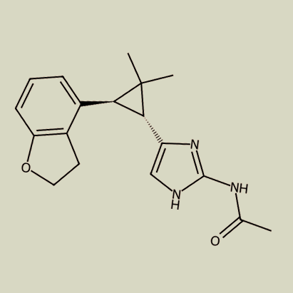 CC(=O)Nc1nc([C@@H]2[C@@H](c3cccc4c3CCO4)C2(C)C)c[nH]1